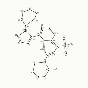 C[C@@H]1COCCN1c1cc(S(C)(=O)=O)c2ccnc(-c3ccnn3C3CCCCO3)c2n1